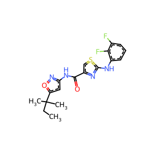 CCC(C)(C)c1cc(NC(=O)c2csc(Nc3cccc(F)c3F)n2)no1